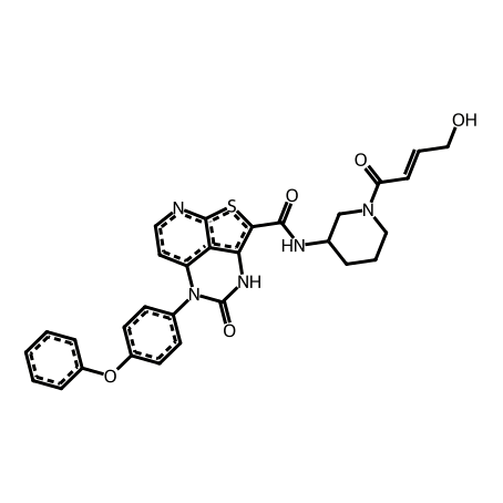 O=C(NC1CCCN(C(=O)C=CCO)C1)c1sc2nccc3c2c1NC(=O)N3c1ccc(Oc2ccccc2)cc1